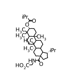 CC(C)C(=O)O[C@@H]1CC[C@@]2(C)C(CC[C@]3(C)C2CCC2C4[C@H](C(C)C)CC[C@]4(C(=O)NCC(=O)O)CC[C@]23C)C1(C)C